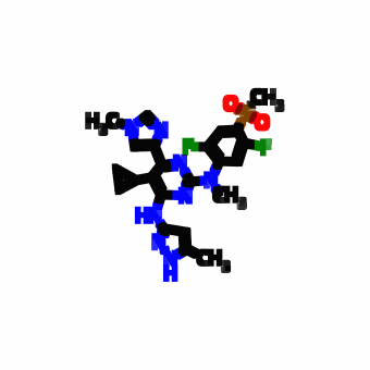 Cc1cc(Nc2nc(N(C)c3cc(F)c(S(C)(=O)=O)cc3F)nc(-c3cn(C)cn3)c2C2CC2)n[nH]1